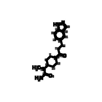 CN(C(N)=O)C1CCN(C(=O)[CH]Cc2ccc3[nH]ncc3c2)CC1